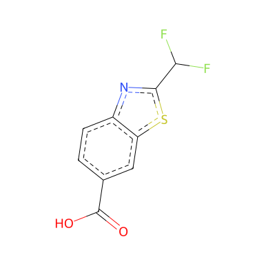 O=C(O)c1ccc2nc(C(F)F)sc2c1